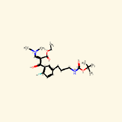 CCOC(=O)/C(=C\N(C)C)C(=O)c1cc(CCCNC(=O)OC(C)(C)C)ccc1F